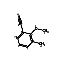 COc1c(C)ccnc1C#N